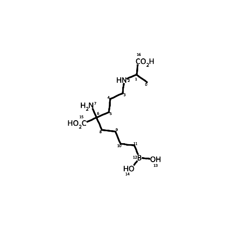 CC(NCCCC(N)(CCCCB(O)O)C(=O)O)C(=O)O